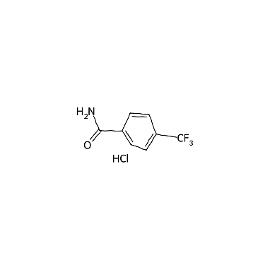 Cl.NC(=O)c1ccc(C(F)(F)F)cc1